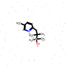 Cc1ccc(CC(C)(C)[Si](C)(C)O)nc1